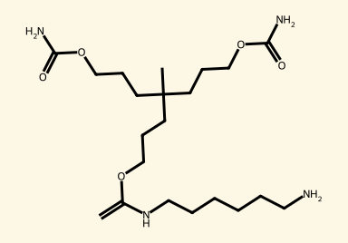 C=C(NCCCCCCN)OCCCC(C)(CCCOC(N)=O)CCCOC(N)=O